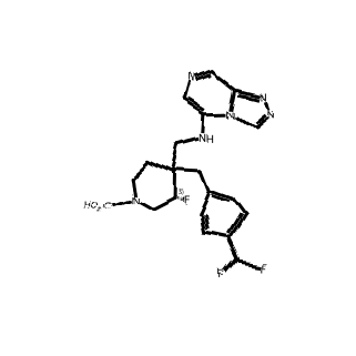 O=C(O)N1CCC(CNc2cncc3nncn23)(Cc2ccc(C(F)F)cc2)[C@H](F)C1